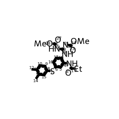 CCC(=O)Nc1cc(Sc2ccc(C)c(C)c2)ccc1NC(=NC(=O)OC)NC(=O)OC